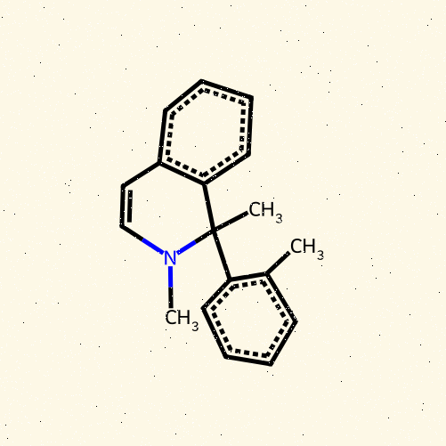 Cc1ccccc1C1(C)c2ccccc2C=CN1C